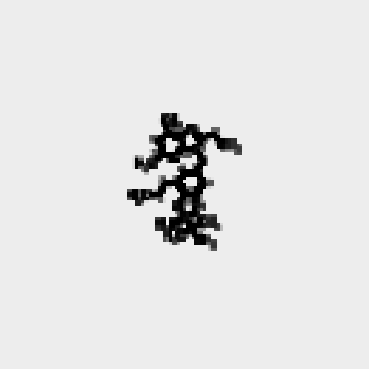 C=CCc1cc(Cn2c(CC)nc3c(C)cc(C)nc32)ccc1O[Si](C)(C)C(C)(C)C